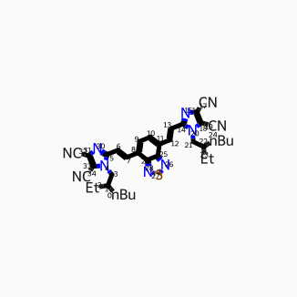 CCCCC(CC)Cn1c(C=Cc2ccc(C=Cc3nc(C#N)c(C#N)n3CC(CC)CCCC)c3nsnc23)nc(C#N)c1C#N